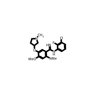 CNc1cc(OC)c(OC2CCN(C)C2)cc1C(=N)Nc1cccc(Cl)c1F